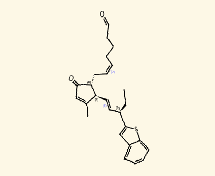 CC[C@H](/C=C/[C@H]1C(C)=CC(=O)[C@@H]1C/C=C\CCCC=O)c1cc2ccccc2s1